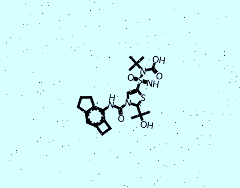 CC(C)(O)C1SC(S(=N)(=O)N(C(=O)O)C(C)(C)C)=CN1C(=O)Nc1c2c(cc3c1CC3)CCC2